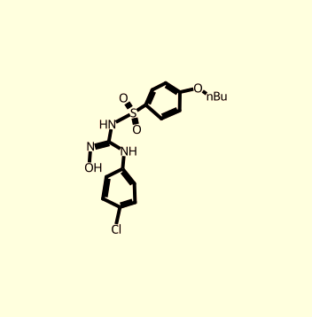 CCCCOc1ccc(S(=O)(=O)NC(=NO)Nc2ccc(Cl)cc2)cc1